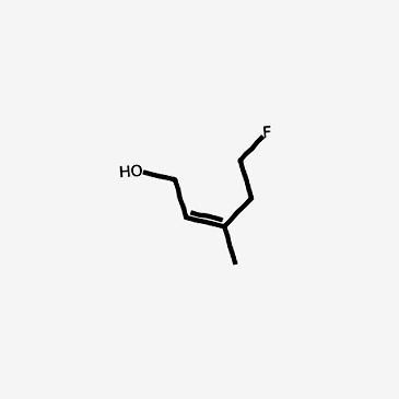 CC(=CCO)CCF